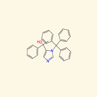 CC(O)(c1ccccc1)c1cncn1C(c1ccccc1)(c1ccccc1)c1ccccc1